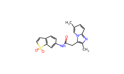 Cc1ccc2nc(C)c(CC(=O)Nc3ccc4c(c3)S(=O)(=O)C=C4)n2c1